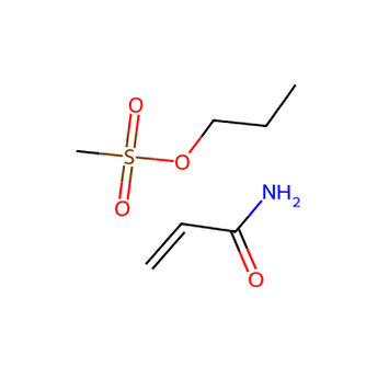 C=CC(N)=O.CCCOS(C)(=O)=O